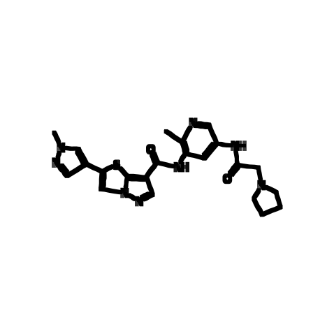 Cc1ncc(NC(=O)CN2CCCC2)cc1NC(=O)c1cnn2cc(-c3cnn(C)c3)sc12